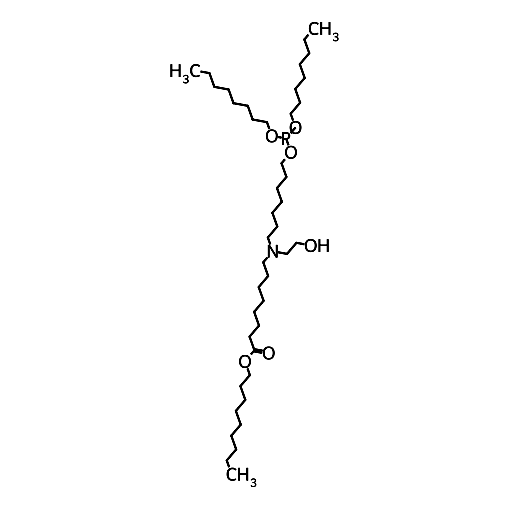 CCCCCCCCCOC(=O)CCCCCCCN(CCO)CCCCCCCOP(OCCCCCCCC)OCCCCCCCC